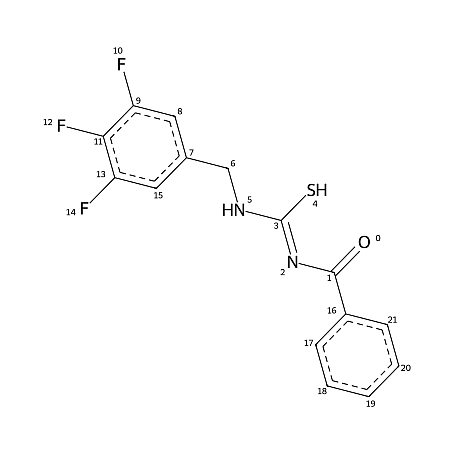 O=C(N=C(S)NCc1cc(F)c(F)c(F)c1)c1ccccc1